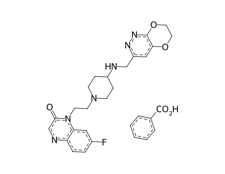 O=C(O)c1ccccc1.O=c1cnc2ccc(F)cc2n1CCN1CCC(NCc2cc3c(nn2)OCCO3)CC1